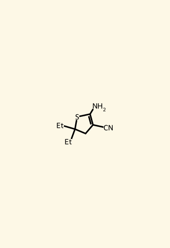 CCC1(CC)CC(C#N)=C(N)S1